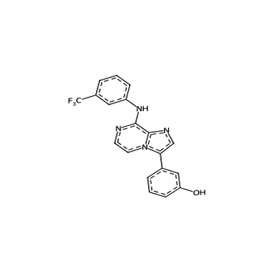 Oc1cccc(-c2cnc3c(Nc4cccc(C(F)(F)F)c4)nccn23)c1